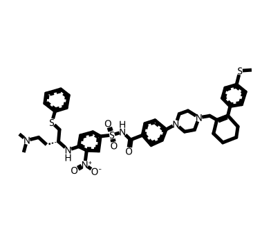 CSc1ccc(C2=C(CN3CCN(c4ccc(C(=O)NS(=O)(=O)c5ccc(N[C@H](CCN(C)C)CSc6ccccc6)c([N+](=O)[O-])c5)cc4)CC3)CCCC2)cc1